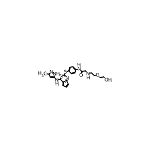 Cc1cc(Nc2nc(Sc3ccc(NC(=O)CNCCOCCO)cc3)nn3cccc23)[nH]n1